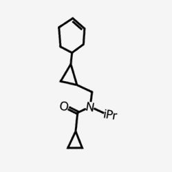 CC(C)N(CC1CC1C1CC=CCC1)C(=O)C1CC1